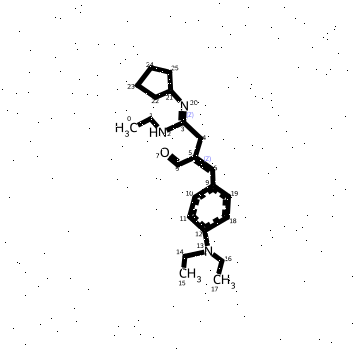 CCN/C(C/C(C=O)=C/c1ccc(N(CC)CC)cc1)=N\C1CCCC1